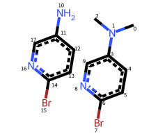 CN(C)c1ccc(Br)nc1.Nc1ccc(Br)nc1